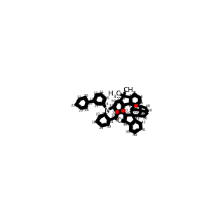 CC1(C)c2ccccc2-c2ccc(N(c3cccc(-c4ccccc4)c3)c3ccccc3-c3ccc4c(c3)-c3ccccc3C43C4CC5CC(C4)CC3C5)cc21